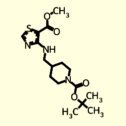 COC(=O)c1scnc1NCC1CCN(C(=O)OC(C)(C)C)CC1